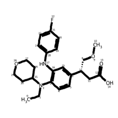 CCN(c1ccc([C@H](COC)CC(=O)O)cc1Nc1ccc(F)cc1)C1CCOCC1